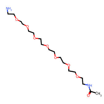 CC(=O)NCCOCCOCCOCCOCCOCCOCCOCCN